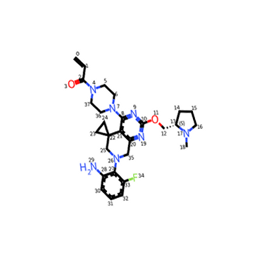 C=CC(=O)N1CCN(c2nc(OC[C@@H]3CCCN3C)nc3c2C2(CC2)CN(c2c(N)cccc2F)C3)CC1